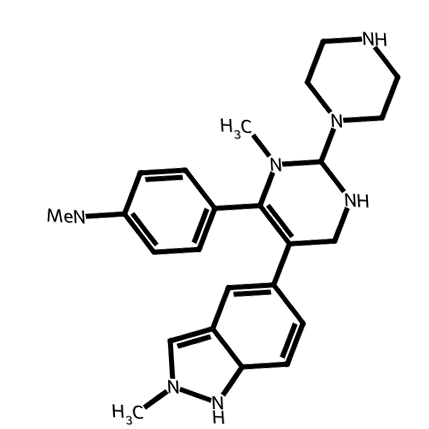 CNc1ccc(C2=C(C3=CC4=CN(C)NC4C=C3)CNC(N3CCNCC3)N2C)cc1